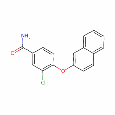 NC(=O)c1ccc(Oc2ccc3ccccc3c2)c(Cl)c1